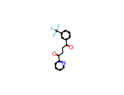 O=C(CCC(=O)c1ccccn1)c1cccc(C(F)(F)F)c1